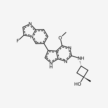 COc1nc(N[C@H]2C[C@@](C)(O)C2)nc2[nH]cc(-c3ccc4ncc(F)n4c3)c12